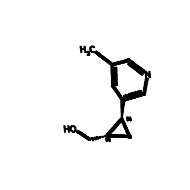 Cc1cncc([C@H]2C[C@@H]2CO)c1